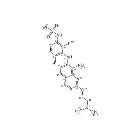 CCCS(=O)(=O)Nc1ccc(F)c(Nc2ccc3ncc(OCCN(C)C)nc3c2[N+](=O)[O-])c1F